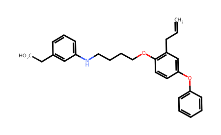 C=CCc1cc(Oc2ccccc2)ccc1OCCCCNc1cccc(CC(=O)O)c1